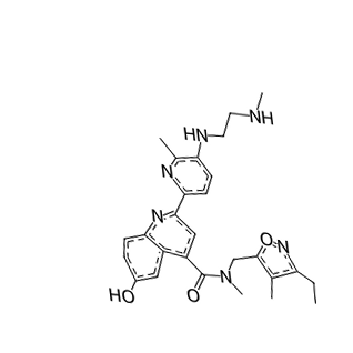 CCc1noc(CN(C)C(=O)c2cc(-c3ccc(NCCNC)c(C)n3)nc3ccc(O)cc23)c1C